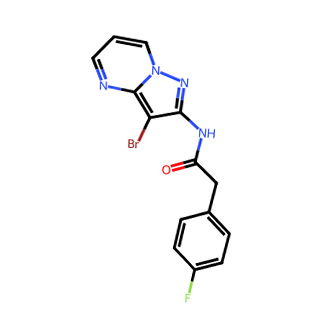 O=C(Cc1ccc(F)cc1)Nc1nn2cccnc2c1Br